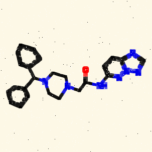 O=C(CN1CCN(C(c2ccccc2)c2ccccc2)CC1)Nc1ccc2ncnn2n1